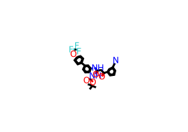 CC(C)(C)OC(=O)Nc1ccc(-c2ccc(OC(F)(F)F)cc2)cc1NC(=O)CC(=O)c1cccc(C#N)c1